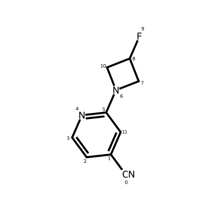 N#Cc1ccnc(N2CC(F)C2)c1